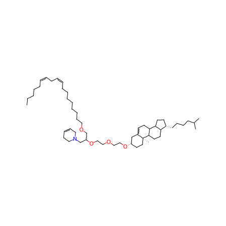 CCCCC/C=C\C/C=C\CCCCCCCCOCC(CN1CC=CCC1)OCCOCCO[C@H]1CC[C@@]2(C)C(=CCC3C4CC[C@H](CCCCC(C)C)C4CCC32)C1